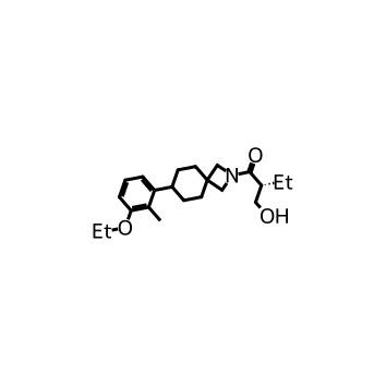 CCOc1cccc(C2CCC3(CC2)CN(C(=O)[C@H](CC)CO)C3)c1C